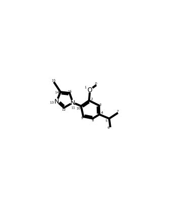 COc1cc(C(C)C)ccc1-n1cnc(C)c1